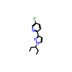 C[CH]C(CC)n1ccc(-c2ccc(F)cn2)n1